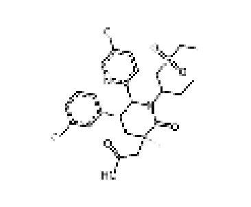 CCC(CS(=O)(=O)CC)N1C(=O)[C@@](C)(CC(=O)O)C[C@H](c2cccc(Cl)c2)[C@H]1c1ccc(Cl)cn1